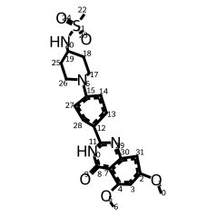 COc1cc(OC)c2c(=O)[nH]c(-c3ccc(N4CCC(NS(C)(=O)=O)CC4)cc3)nc2c1